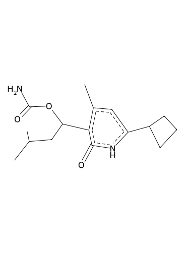 Cc1cc(C2CCC2)[nH]c(=O)c1C(CC(C)C)OC(N)=O